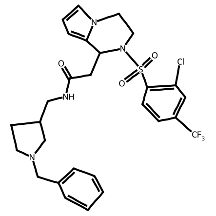 O=C(CC1c2cccn2CCN1S(=O)(=O)c1ccc(C(F)(F)F)cc1Cl)NCC1CCN(Cc2ccccc2)C1